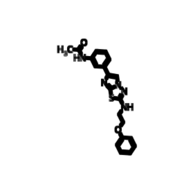 CC(=O)Nc1cccc(-c2cn3nc(NCCOc4ccccc4)sc3n2)c1